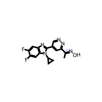 C/C(=N\O)c1cc(-c2nc3cc(F)c(F)cc3n2C2CC2)cnn1